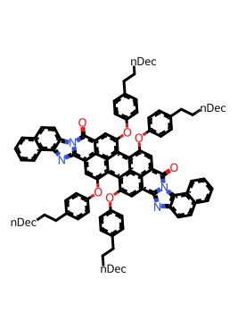 CCCCCCCCCCCCc1ccc(Oc2cc3c(=O)n4c5ccc6ccccc6c5nc4c4cc(Oc5ccc(CCCCCCCCCCCC)cc5)c5c6c(Oc7ccc(CCCCCCCCCCCC)cc7)cc7c8c(cc(Oc9ccc(CCCCCCCCCCCC)cc9)c(c2c5c34)c68)c(=O)n2c7nc3ccc4ccccc4c32)cc1